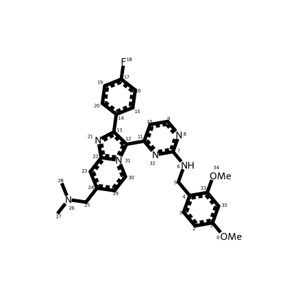 COc1ccc(CNc2nccc(-c3c(-c4ccc(F)cc4)nc4cc(CN(C)C)ccn34)n2)c(OC)c1